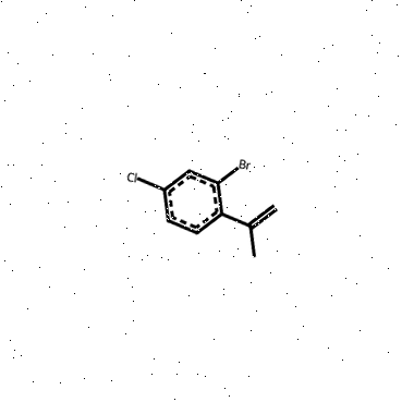 C=C(C)c1ccc(Cl)cc1Br